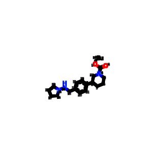 CC(C)(C)OC(=O)N1CCCC(c2ccc(CNN3CCCC3)cc2)C1